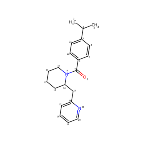 CC(C)c1ccc(C(=O)N2CCCCC2Cc2ccccn2)cc1